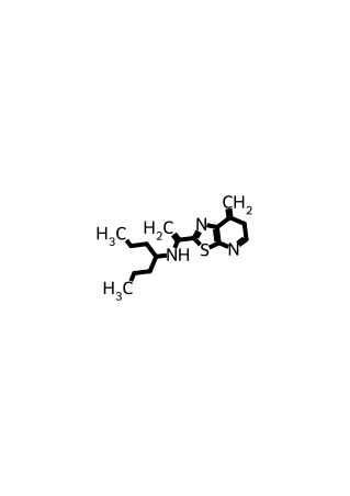 C=C(NC(CCC)CCC)c1nc2c(s1)N=CCC2=C